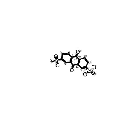 CS(=O)(=O)c1ccc2c(c1)C(=O)c1cc(S(=O)(=O)Cl)ccc1C2=O